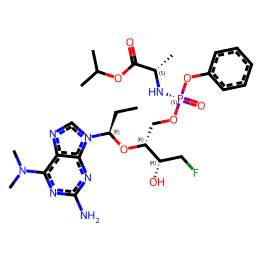 CC[C@@H](O[C@H](CO[P@@](=O)(N[C@@H](C)C(=O)OC(C)C)Oc1ccccc1)[C@@H](O)CF)n1cnc2c(N(C)C)nc(N)nc21